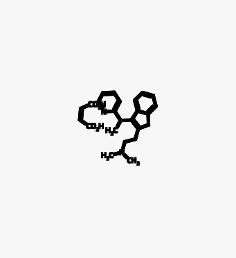 CC(C1=C(CCN(C)C)Cc2ccccc21)c1ccccn1.O=C(O)/C=C\C(=O)O